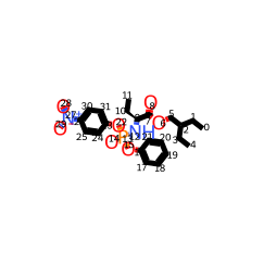 CCC(CC)COC(=O)[C@H](CC)NP(=O)(Oc1ccccc1)Oc1ccc([N+](=O)[O-])cc1